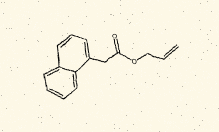 C=CCOC(=O)Cc1cccc2ccccc12